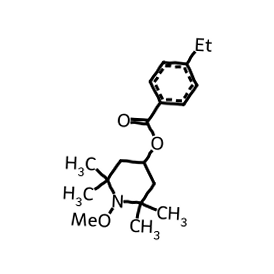 CCc1ccc(C(=O)OC2CC(C)(C)N(OC)C(C)(C)C2)cc1